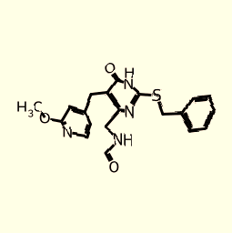 COc1cc(Cc2c(CNC=O)nc(SCc3ccccc3)[nH]c2=O)ccn1